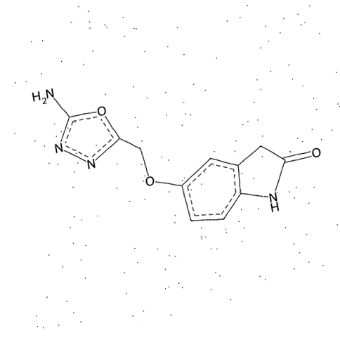 Nc1nnc(COc2ccc3c(c2)CC(=O)N3)o1